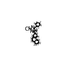 Clc1nc(-c2ccccc2)nc(-c2ccc3c(ccc4ccccc43)c2)n1